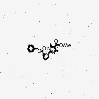 COC(=O)c1c(C)nc(N2CCC[C@H]2C(=O)OCc2ccccc2)nc1C